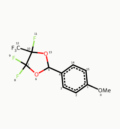 COc1ccc(C2OC(F)(F)C(F)(C(F)(F)F)O2)cc1